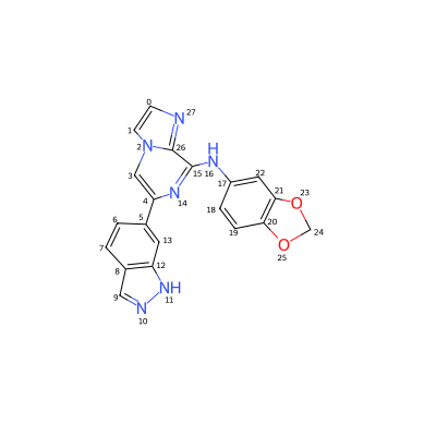 c1cn2cc(-c3ccc4cn[nH]c4c3)nc(Nc3ccc4c(c3)OCO4)c2n1